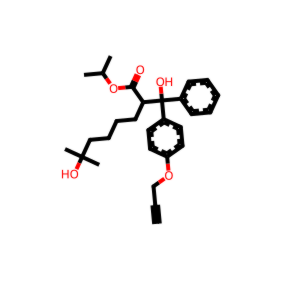 C#CCOc1ccc(C(O)(c2ccccc2)C(CCCCC(C)(C)O)C(=O)OC(C)C)cc1